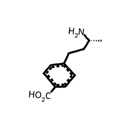 C[C@@H](N)CCc1ccc(C(=O)O)cc1